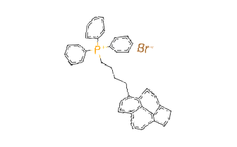 [Br-].c1ccc([P+](CCCCc2ccc3ccc4cccc5ccc2c3c45)(c2ccccc2)c2ccccc2)cc1